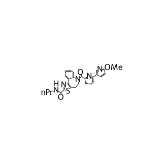 CCCNC(=O)c1nc2c(s1)CCN(C(=O)c1cccc(-c3ccc(OC)nc3)n1)c1ccccc1-2